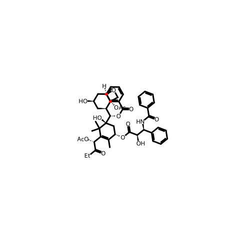 CCC(=O)[C@H](OC(C)=O)C1=C(C)[C@@H](OC(=O)[C@H](O)[C@@H](NC(=O)c2ccccc2)c2ccccc2)C[C@@](O)([C@@H](OC(=O)c2ccccc2)[C@H]2C[C@@H](O)C[C@H]3OC[C@@]23OC(C)=O)C1(C)C